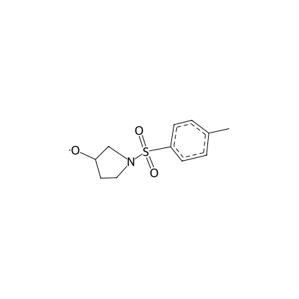 Cc1ccc(S(=O)(=O)N2CCC([O])C2)cc1